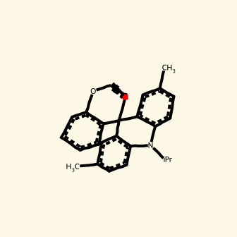 Cc1ccc2c(c1)C1(c3ccccc3Oc3ccccc31)c1cc(C)ccc1N2C(C)C